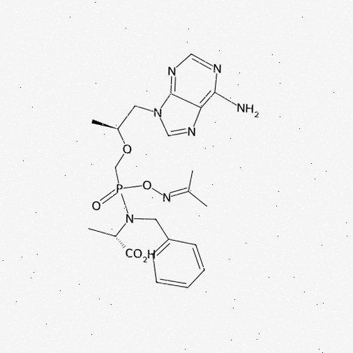 CC(C)=NOP(=O)(CO[C@@H](C)Cn1cnc2c(N)ncnc21)N(Cc1ccccc1)[C@@H](C)C(=O)O